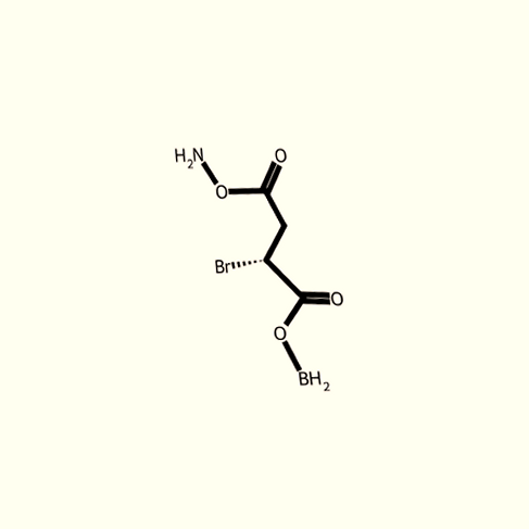 BOC(=O)[C@H](Br)CC(=O)ON